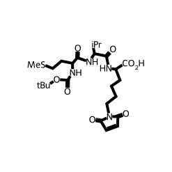 CSCCC(NC(=O)OC(C)(C)C)C(=O)NC(C(=O)NC(CCCCN1C(=O)C=CC1=O)C(=O)O)C(C)C